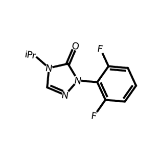 CC(C)n1cnn(-c2c(F)cccc2F)c1=O